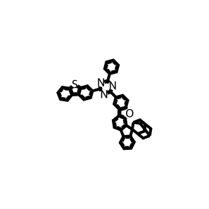 c1ccc(-c2nc(-c3ccc4c(c3)sc3ccccc34)nc(-c3ccc4oc5c6c(ccc5c4c3)-c3ccccc3C63C4CC5CC(C4)CC3C5)n2)cc1